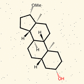 CO[C@H]1CC[C@H]2[C@@H]3CC[C@H]4C[C@@H](O)CC[C@]4(C)[C@H]3CC[C@]12C